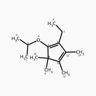 CCC1=C(OC(C)C)C(C)(C)C(C)=C1C